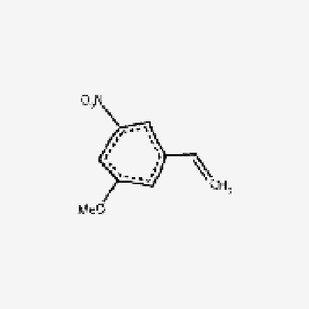 C=Cc1cc(OC)cc([N+](=O)[O-])c1